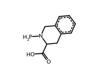 O=C(O)C1Cc2ccccc2CN1P